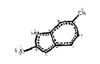 N#Cc1ccc2cc(C(F)(F)F)[nH]c2c1